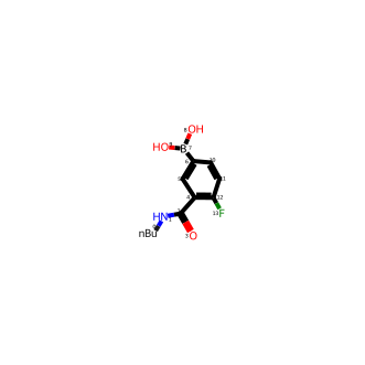 CCCCNC(=O)c1cc(B(O)O)ccc1F